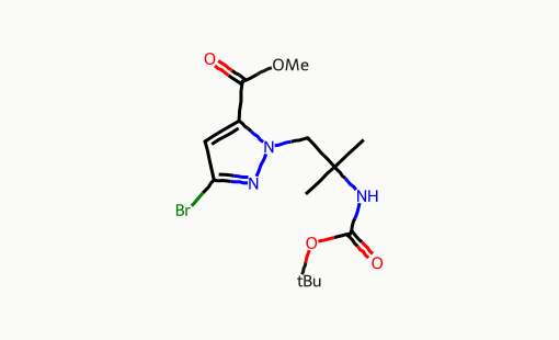 COC(=O)c1cc(Br)nn1CC(C)(C)NC(=O)OC(C)(C)C